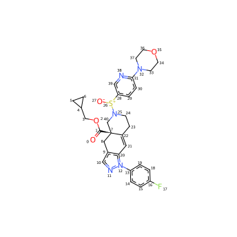 O=C(OCC1CC1)[C@]12Cc3cnn(-c4ccc(F)cc4)c3C=C1CCN([S+]([O-])c1ccc(N3CCOCC3)nc1)C2